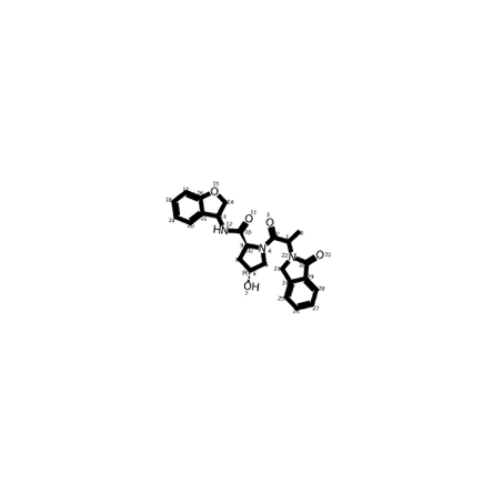 CC(C(=O)N1C[C@H](O)C[C@H]1C(=O)NC1COc2ccccc21)N1Cc2ccccc2C1=O